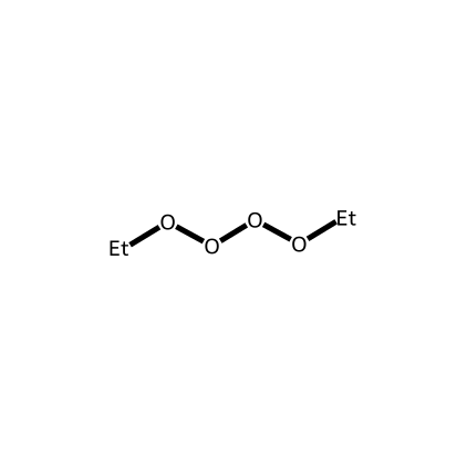 CCOOOOCC